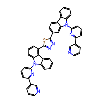 c1cncc(-c2cccc(-n3c4ccccc4c4ccc(-c5nnc(-c6cccc7c6c6ccccc6n7-c6cccc(-c7cccnc7)n6)s5)cc43)n2)c1